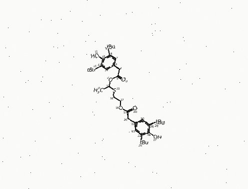 CC(OC(=O)Cc1cc(C(C)(C)C)c(O)c(C(C)(C)C)c1)SCCOC(=O)Cc1cc(C(C)(C)C)c(O)c(C(C)(C)C)c1